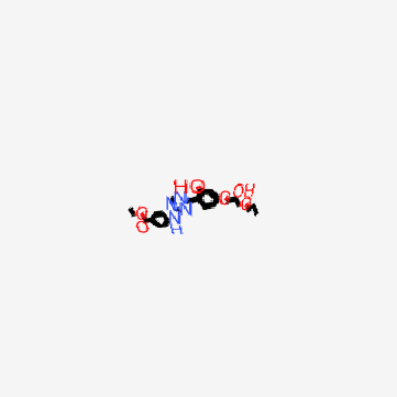 CCCOCC(O)COc1ccc(-c2ncnc(Nc3ccc(C(=O)OCC)cc3)n2)c(O)c1